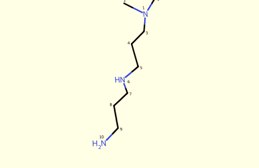 CN(C)CCCNCCCN